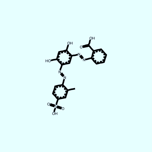 Cc1cc(S(=O)(=O)O)ccc1N=Nc1cc(N=Nc2ccccc2C(=O)O)c(O)cc1O